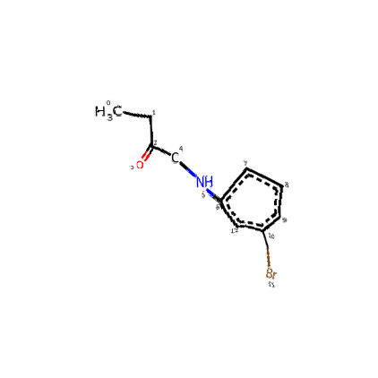 CCC(=O)CNc1cccc(Br)c1